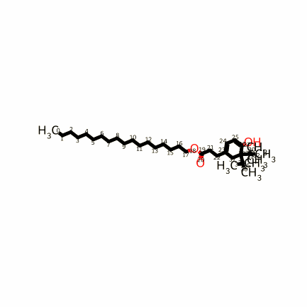 CCCCCCCCCCCCCCCCCCOC(=O)CCC1=CC=C(O)C(C(C)(C)C)(C(C)(C)C)C1